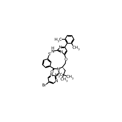 Cc1cccc(C)c1-c1cc2nc(n1)NSc1cccc(c1)C(=O)N(Cc1ncc(Br)cn1)[C@H](CC(C)(C)C)CO2